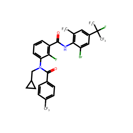 O=C(Nc1c(Br)cc(C(F)(C(F)(F)F)C(F)(F)F)cc1C(F)(F)F)c1cccc(N(CC2CC2)C(=O)c2ccc(C(F)(F)F)cc2)c1F